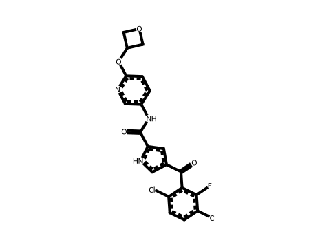 O=C(Nc1ccc(OC2COC2)nc1)c1cc(C(=O)c2c(Cl)ccc(Cl)c2F)c[nH]1